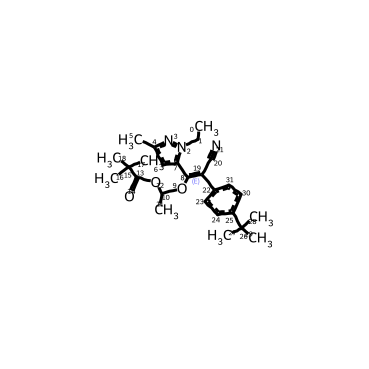 CCn1nc(C)cc1/C(OC(C)OC(=O)C(C)(C)C)=C(\C#N)c1ccc(C(C)(C)C)cc1